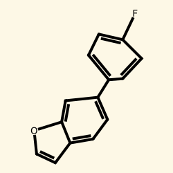 Fc1ccc(-c2ccc3ccoc3c2)cc1